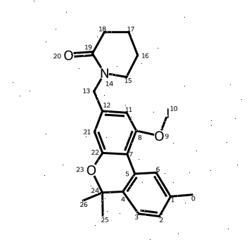 Cc1ccc2c(c1)-c1c(OI)cc(CN3CCCCC3=O)cc1OC2(C)C